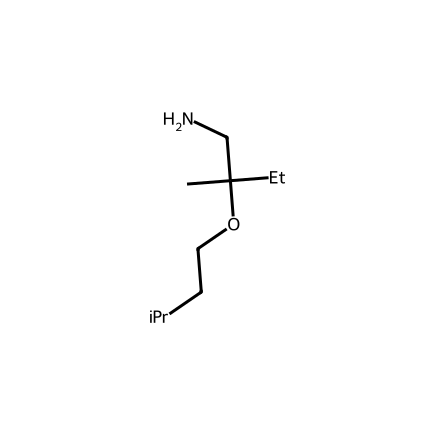 CCC(C)(CN)OCCC(C)C